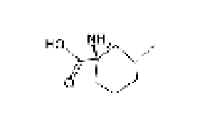 C[C@@H]1CCC[C@](N)(C(=O)O)C1